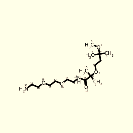 COC(C)(C)CCOC(C)(C)C(=O)NCCOCCOCCN